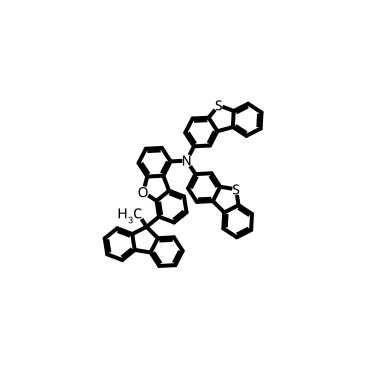 CC1(c2cccc3c2oc2cccc(N(c4ccc5c(c4)sc4ccccc45)c4ccc5sc6ccccc6c5c4)c23)c2ccccc2-c2ccccc21